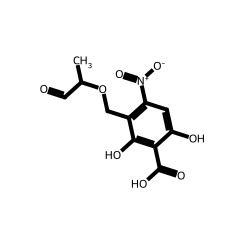 CC(C=O)OCc1c([N+](=O)[O-])cc(O)c(C(=O)O)c1O